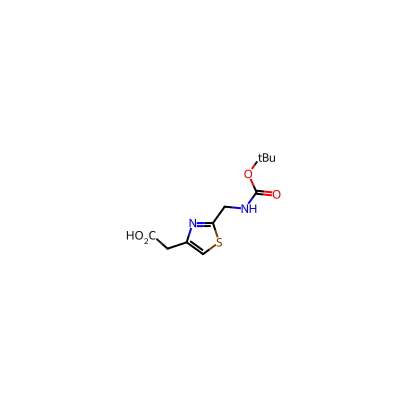 CC(C)(C)OC(=O)NCc1nc(CC(=O)O)cs1